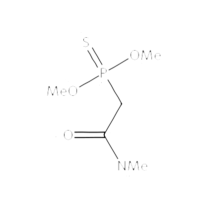 CNC(=O)CP(=S)(OC)OC